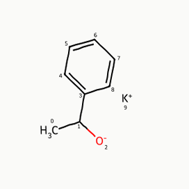 CC([O-])c1ccccc1.[K+]